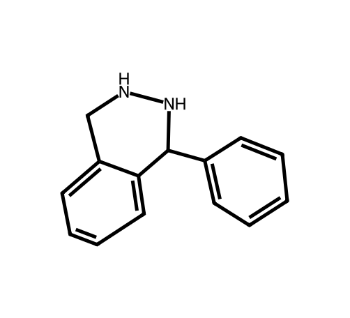 c1ccc(C2NNCc3ccccc32)cc1